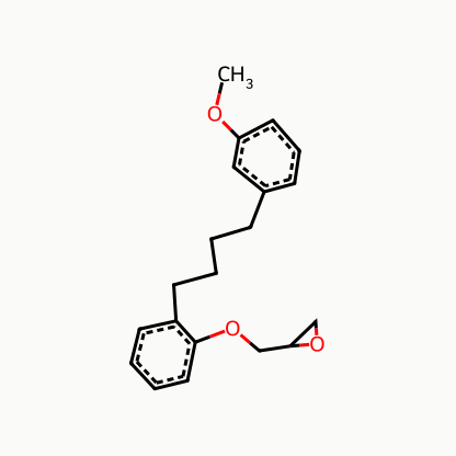 COc1cccc(CCCCc2ccccc2OCC2CO2)c1